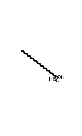 CCCCCCCCCCCCCCCCCCCCCCP(=O)(O)O